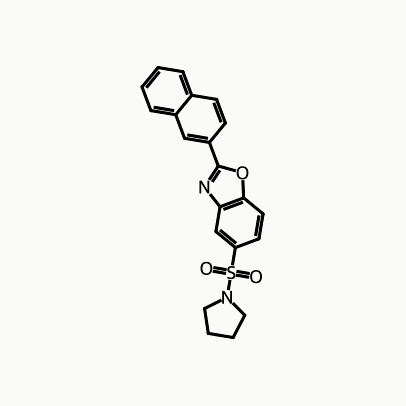 O=S(=O)(c1ccc2oc(-c3ccc4ccccc4c3)nc2c1)N1CCCC1